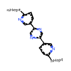 CCCCCCCc1ccc(-c2cnc(-c3ccc(CCCCCCC)nc3)cn2)cn1